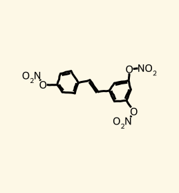 O=[N+]([O-])Oc1ccc(/C=C/c2cc(O[N+](=O)[O-])cc(O[N+](=O)[O-])c2)cc1